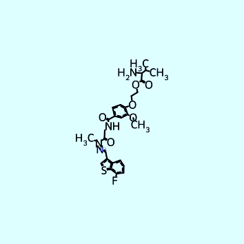 COc1cc(C(=O)NCC(=O)N(C)/N=C/c2csc3c(F)cccc23)ccc1OCCOC(=O)C(N)C(C)C